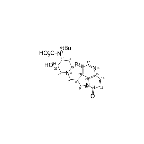 CC(C)(C)N(C(=O)O)[C@@H]1CCN(CC2Cn3c(=O)ccc4ncc(F)c2c43)C[C@@H]1O